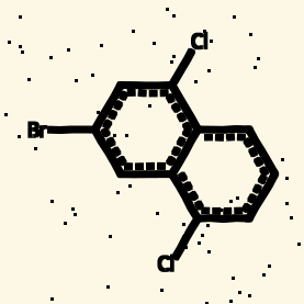 Clc1cc(Br)cc2c(Cl)cccc12